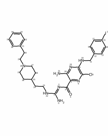 N/C(=N\C(=O)c1nc(Cl)c(NCc2ccc(I)cc2)nc1N)NCCC1CCN(CCc2ccccc2)CC1